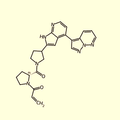 C=CC(=O)N1CCC[C@@H]1C(=O)N1CCC(c2cc3c(-c4cnn5ncccc45)ccnc3[nH]2)C1